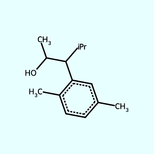 Cc1ccc(C)c(C(C(C)C)C(C)O)c1